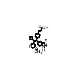 COc1cncc(C(=C(c2ccc(C=CC(=O)O)cc2)c2ccc3[nH]nc(F)c3c2)C2CCC2)c1